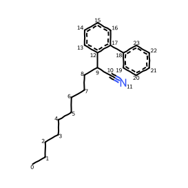 CCCCCCCCCC(C#N)c1ccccc1-c1ccccc1